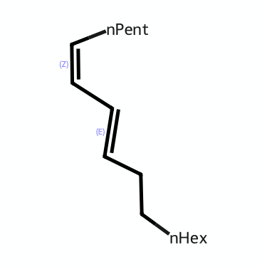 [CH2]CCCCCCC/C=C/C=C\CCCCC